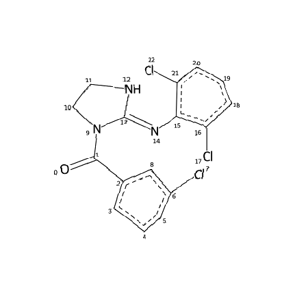 O=C(c1cccc(Cl)c1)N1CCNC1=Nc1c(Cl)cccc1Cl